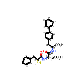 O=C(O)C[C@H](NC(=O)[C@@H](S)Cc1ccccc1)C(=O)N[C@@H](Cc1ccc(-c2ccccc2)cc1)C(=O)O